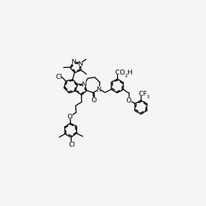 Cc1cc(OCCCc2c3n(c4c(-c5c(C)nn(C)c5C)c(Cl)ccc24)CCCN(Cc2cc(COc4ccccc4C(F)(F)F)cc(C(=O)O)c2)C3=O)cc(C)c1Cl